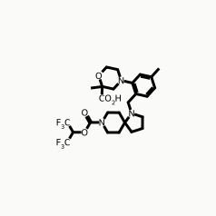 Cc1ccc(CN2CCCC23CCN(C(=O)OC(C(F)(F)F)C(F)(F)F)CC3)c(N2CCOC(C)(C(=O)O)C2)c1